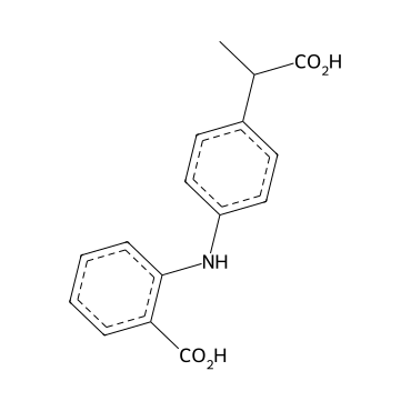 CC(C(=O)O)c1ccc(Nc2ccccc2C(=O)O)cc1